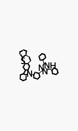 C1=Cc2cc3c(cc2Sc2ccccc21)c1ccccc1n3-c1cccc(C2=NC(c3ccccc3)NC(c3ccccc3)=N2)c1